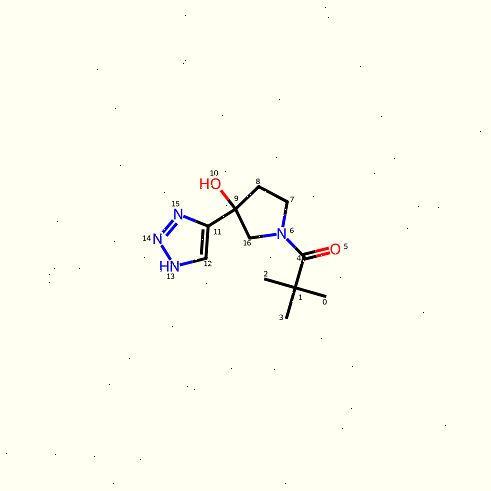 CC(C)(C)C(=O)N1CCC(O)(c2c[nH]nn2)C1